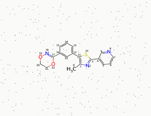 Cc1nc(-c2cccnc2)sc1-c1cccc(C2=NOCCO2)c1